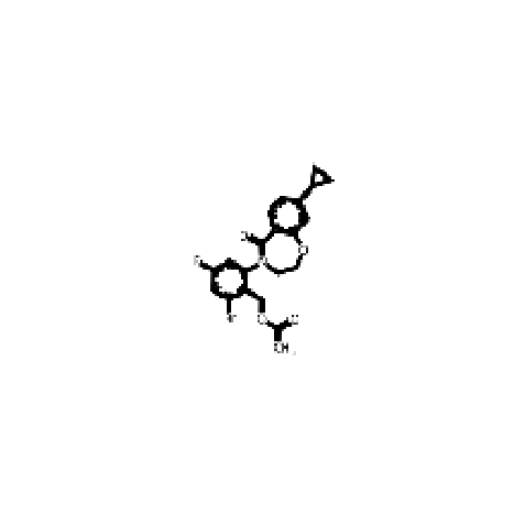 CC(=O)OCc1c(Br)cc(F)cc1N1CCOc2cc(C3CC3)ccc2C1=O